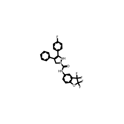 O=C(Nc1ccc2c(c1)C(F)(F)C(F)(F)O2)N1CC(c2ccccc2)=C(c2ccc(F)cc2)N1